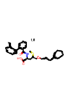 CSC(COCCCC1CCCCC1)CC(NC(=O)c1ccccc1-c1ccccc1C)C(=O)O.[LiH]